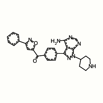 Nc1ncnc2c1c(-c1ccc(C(=O)c3cc(-c4ccccc4)no3)cc1)nn2C1CCNCC1